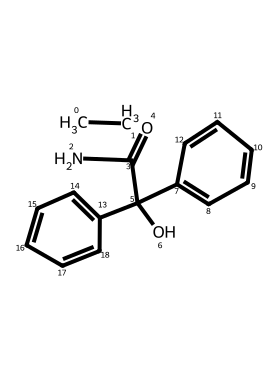 CC.NC(=O)C(O)(c1ccccc1)c1ccccc1